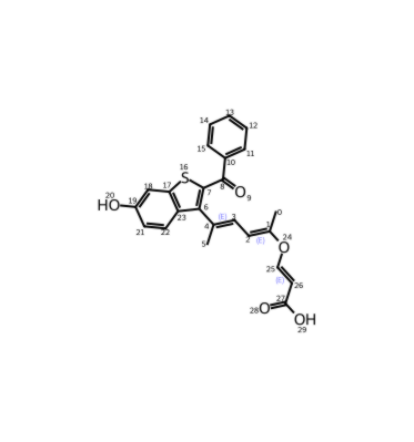 C/C(=C\C=C(/C)c1c(C(=O)c2ccccc2)sc2cc(O)ccc12)O/C=C/C(=O)O